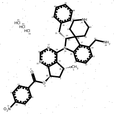 C[C@@H]1C[C@@H](OC(=O)c2ccc([N+](=O)[O-])cc2)c2ncnc(N3c4cccc(CN)c4C4(CCNCC4)[C@H]3Cc3ccccc3)c21.Cl.Cl.Cl